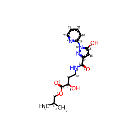 CC(C)COC(=O)C(O)CCNC(=O)c1cc(O)n(-c2ccccn2)n1